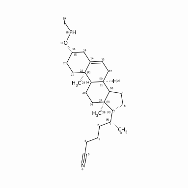 C[C@H](CCCC#N)[C@H]1CCC2[C@@H]3CC=C4C[C@@H](OPI)CC[C@]4(C)C3CC[C@@]21C